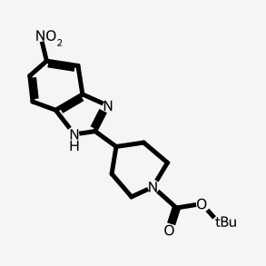 CC(C)(C)OC(=O)N1CCC(c2nc3cc([N+](=O)[O-])ccc3[nH]2)CC1